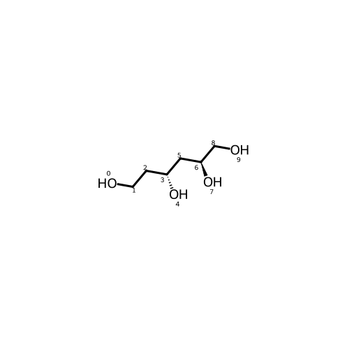 OCC[C@@H](O)C[C@H](O)CO